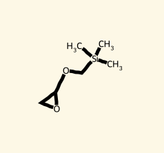 C[Si](C)(C)COC1CO1